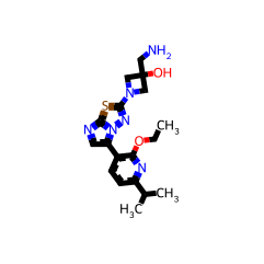 CCOc1nc(C(C)C)ccc1-c1cnc2sc(N3CC(O)(CN)C3)nn12